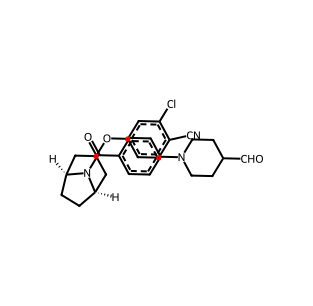 N#Cc1ccc(OC2C[C@H]3CC[C@@H](C2)N3C(=O)c2ccc(N3CCC(C=O)CC3)cc2)cc1Cl